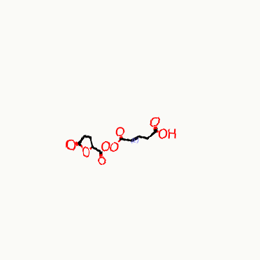 O=C(O)C/C=C/C(=O)OOC(=O)C1CCC(=O)O1